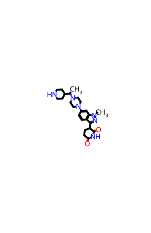 CC(C1CCNCC1)N1CCN(c2ccc3c(C4CCC(=O)NC4=O)nn(C)c3c2)CC1